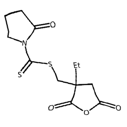 CCC1(CSC(=S)N2CCCC2=O)CC(=O)OC1=O